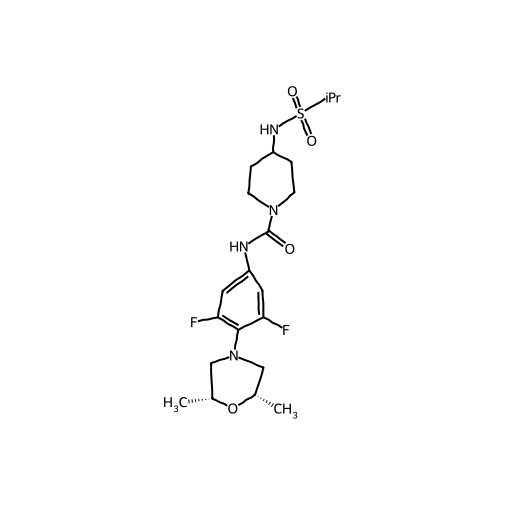 CC(C)S(=O)(=O)NC1CCN(C(=O)Nc2cc(F)c(N3C[C@@H](C)O[C@@H](C)C3)c(F)c2)CC1